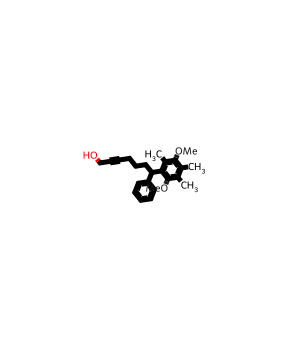 COc1c(C)c(C)c(OC)c(C(CCCC#CCO)c2ccccc2)c1C